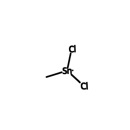 [CH3][Sn]([Cl])[Cl]